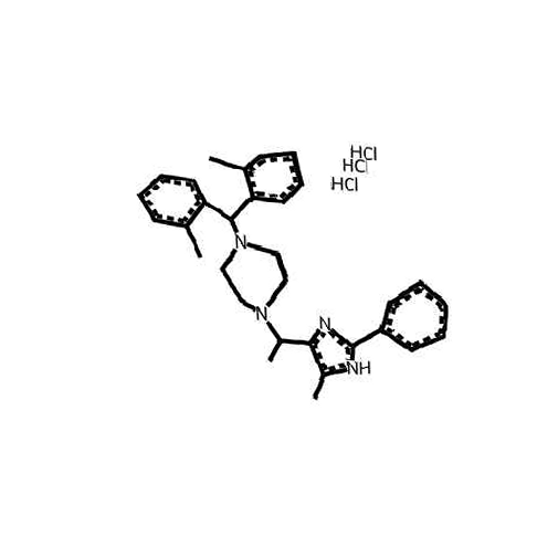 Cc1ccccc1C(c1ccccc1C)N1CCN(C(C)c2nc(-c3ccccc3)[nH]c2C)CC1.Cl.Cl.Cl